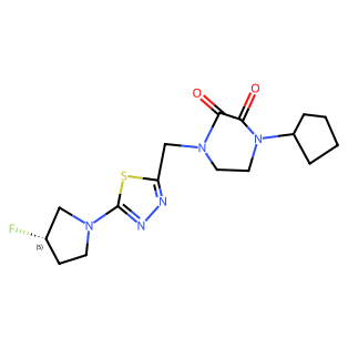 O=C1C(=O)N(C2CCCC2)CCN1Cc1nnc(N2CC[C@H](F)C2)s1